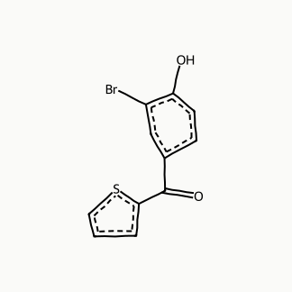 O=C(c1ccc(O)c(Br)c1)c1cccs1